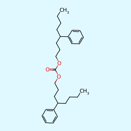 CCCCC(CCCOC(=O)OCCCC(CCCC)c1ccccc1)c1ccccc1